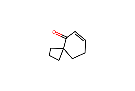 O=C1C=CCCC12CCC2